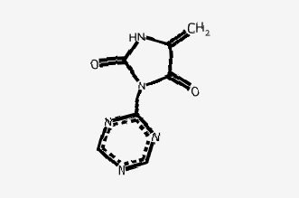 C=C1NC(=O)N(c2ncncn2)C1=O